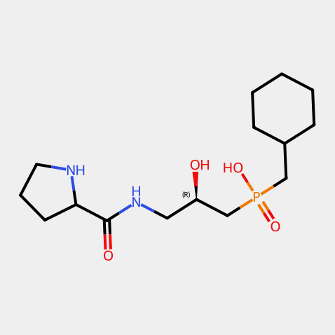 O=C(NC[C@@H](O)CP(=O)(O)CC1CCCCC1)C1CCCN1